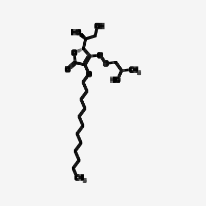 CCCCCCCCCCCCOC1=C(OOCC(C)O)[C@@H]([C@@H](O)CO)OC1=O